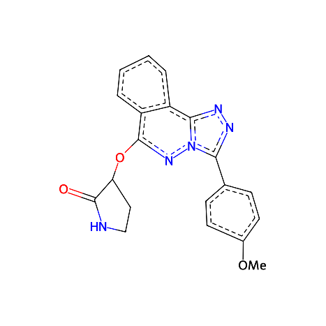 COc1ccc(-c2nnc3c4ccccc4c(OC4CCNC4=O)nn23)cc1